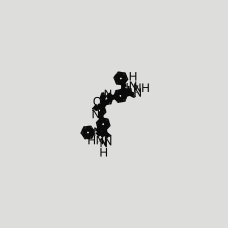 C1=NNNc2c1c1ccc(-c3cc4c(cn3)oc3cnc(-c5ccc6c7c(n(-c8ccccc8)c6c5)NNN=C7)cc34)cc1n2-c1ccccc1